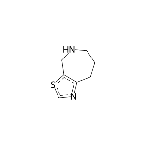 c1nc2c(s1)CNCCC2